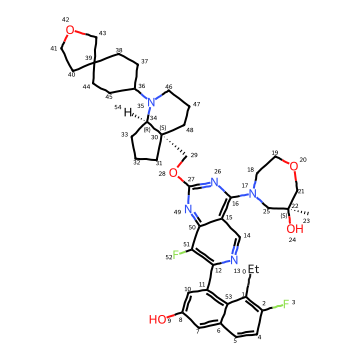 CCc1c(F)ccc2cc(O)cc(-c3ncc4c(N5CCOC[C@@](C)(O)C5)nc(OC[C@]56CCC[C@H]5N(C5CCC7(CCOC7)CC5)CCC6)nc4c3F)c12